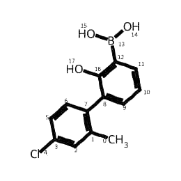 Cc1cc(Cl)ccc1-c1cccc(B(O)O)c1O